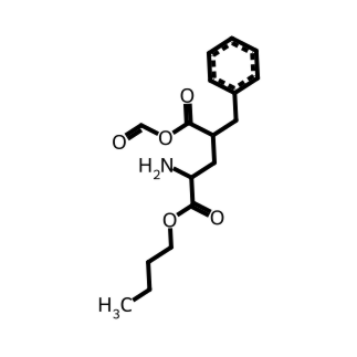 CCCCOC(=O)C(N)CC(Cc1ccccc1)C(=O)OC=O